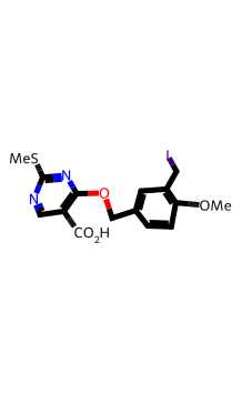 COc1ccc(COc2nc(SC)ncc2C(=O)O)cc1CI